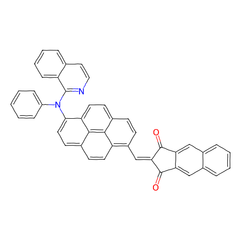 O=C1C(=Cc2ccc3ccc4c(N(c5ccccc5)c5nccc6ccccc56)ccc5ccc2c3c54)C(=O)c2cc3ccccc3cc21